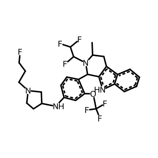 CC1Cc2c([nH]c3ccccc23)C(c2ccc(NC3CCN(CCCF)C3)cc2OC(F)(F)F)N1C(F)C(F)F